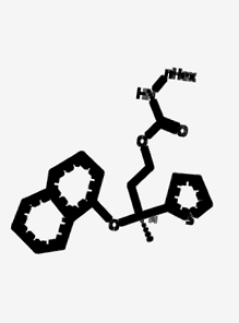 CCCCCCNC(=O)OCC[C@](C)(Oc1cccc2ccccc12)c1cccs1